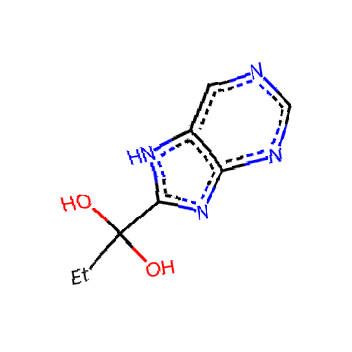 CCC(O)(O)c1nc2ncncc2[nH]1